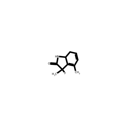 CC1=C2C(CC=C1)NC(=O)C2(C)F